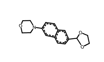 c1cc2cc(N3CCOCC3)ccc2cc1C1OCCO1